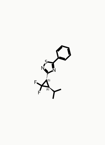 CC(C)[C@@H]1[C@@H](c2nsc(-c3ccccc3)n2)C1(F)F